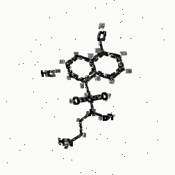 CCCN(CCN)S(=O)(=O)c1cccc2c(Cl)cccc12.Cl